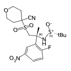 CC(C)(C)[S@@+]([O-])N[C@@](C)(CS(=O)(=O)C1(C#N)CCOCC1)c1cc([N+](=O)[O-])ccc1F